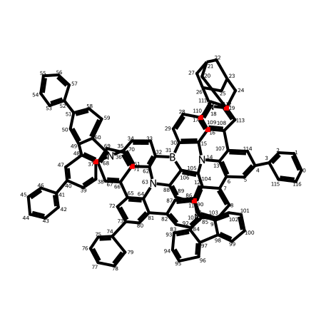 c1ccc(-c2cc(-c3ccccc3)c(N3c4cc(N5C6CC7CC(C6)CC5C7)ccc4B4c5ccc(-n6c7ccc(-c8ccccc8)cc7c7cc(-c8ccccc8)ccc76)cc5N(c5c(-c6ccccc6)cc(-c6ccccc6)cc5-c5ccccc5)c5cc(-n6c7ccccc7c7ccccc76)cc3c54)c(-c3ccccc3)c2)cc1